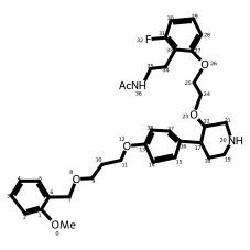 COc1ccccc1COCCCOc1ccc(C2CCNCC2OCCOc2cccc(F)c2CCNC(C)=O)cc1